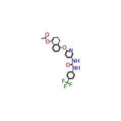 CC(=O)OC1=CCCc2c(Oc3ccc(NC(=O)Nc4ccc(C(F)(F)F)cc4)cn3)cccc21